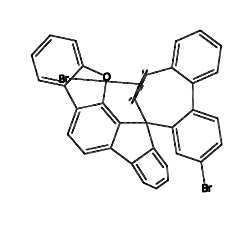 Brc1ccc2c(c1)C1(c3cc(Br)ccc3-c3ccccc3-2)c2ccccc2-c2ccc3c(oc4ccccc43)c21